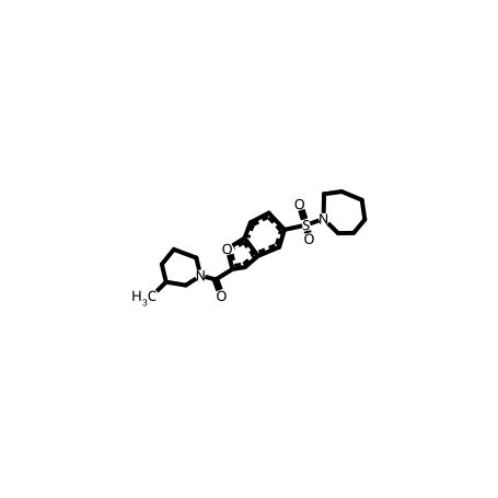 CC1CCCN(C(=O)c2cc3cc(S(=O)(=O)N4CCCCCC4)ccc3o2)C1